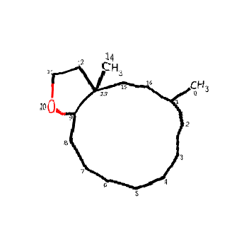 CC1CCCCCCCC2OCCC2(C)CC1